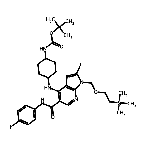 CC(C)(C)OC(=O)NC1CCC(Nc2c(C(=O)Nc3ccc(F)cc3)cnc3c2cc(I)n3COCC[Si](C)(C)C)CC1